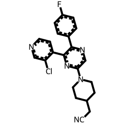 N#CCC1CCN(c2cnc(-c3ccc(F)cc3)c(-c3ccncc3Cl)n2)CC1